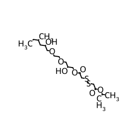 CCC(C)CC(O)COCCOCC(O)COC(=O)CSSCC(=O)OC(C)C